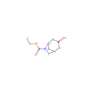 CCOC(=O)N1CC2CC(=O)CC1C2